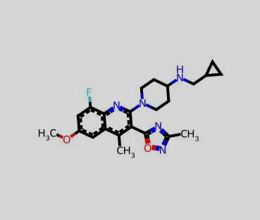 COc1cc(F)c2nc(N3CCC(NCC4CC4)CC3)c(-c3nc(C)no3)c(C)c2c1